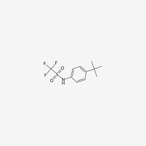 CC(C)(C)c1ccc(NS(=O)(=O)C(F)(F)F)cc1